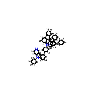 C1=CC(N(c2ccc(-c3ccccc3)cc2)c2cccc3c2C2(c4ccccc4-c4ccccc42)c2ccccc2-3)CC=C1c1cccc2c1c1cnccc1n2-c1ccccc1